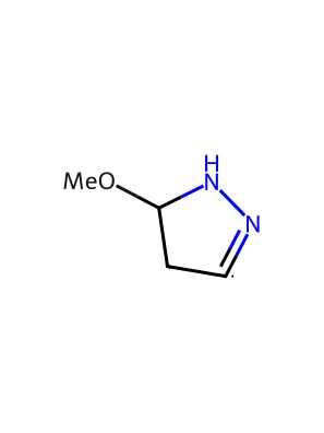 COC1C[C]=NN1